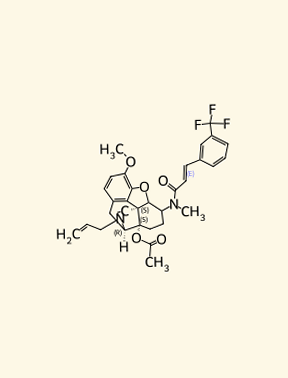 C=CCN1CC[C@]23c4c5ccc(OC)c4OC2C(N(C)C(=O)/C=C/c2cccc(C(F)(F)F)c2)CC[C@@]3(OC(C)=O)[C@H]1C5